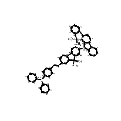 CC1(C)c2cc(/C=C/c3ccc(N(c4ccccc4)c4ccccc4)cc3)ccc2-c2ccc(-n3c4ccccc4c4ccc5c(c43)C(C)(C)c3ccccc3-5)cc21